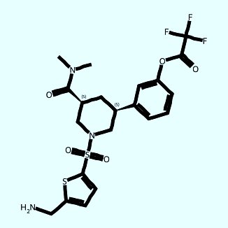 CN(C)C(=O)[C@H]1C[C@@H](c2cccc(OC(=O)C(F)(F)F)c2)CN(S(=O)(=O)c2ccc(CN)s2)C1